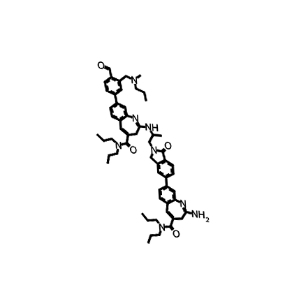 CCCN(C)Cc1cc(-c2ccc3c(c2)N=C(NC(C)CN2Cc4cc(-c5ccc6c(c5)N=C(N)CC(C(=O)N(CCC)CCC)=C6)ccc4C2=O)CC(C(=O)N(CCC)CCC)=C3)ccc1C=O